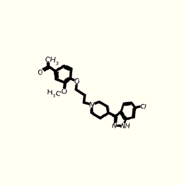 COc1cc(C(C)=O)ccc1OCCCN1CCC(c2n[nH]c3cc(Cl)ccc23)CC1